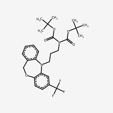 CC(C)(C)OC(=O)N(CCCN1c2ccccc2COc2ccc(C(F)(F)F)cc21)C(=O)OC(C)(C)C